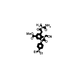 CCN(CC)c1ccc(-n2c(=O)n(CC#N)c3c(CC(=O)N(C)C(N)=O)cc(C(=O)OC)cc32)cc1